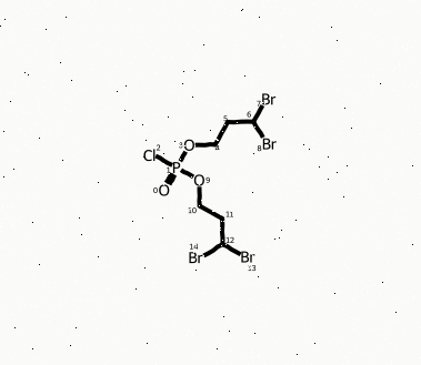 O=P(Cl)(OCCC(Br)Br)OCCC(Br)Br